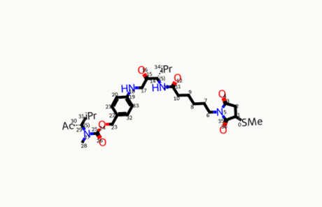 CSC1CC(=O)N(CCCCCC(=O)N[C@H](C(=O)CNc2ccc(COC(=O)N(C)[C@H](C(C)=O)C(C)C)cc2)C(C)C)C1=O